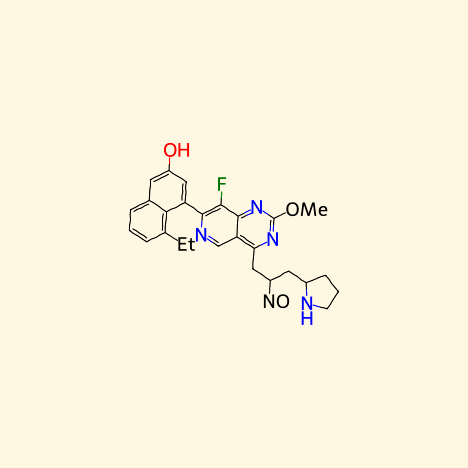 CCc1cccc2cc(O)cc(-c3ncc4c(CC(CC5CCCN5)N=O)nc(OC)nc4c3F)c12